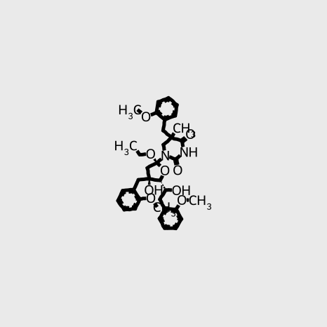 CCO[C@]1(N2CC(C)(Cc3ccccc3OC)C(=O)NC2=O)C[C@@](O)(Cc2ccccc2OC)[C@@H](C(O)Cc2ccccc2OC)O1